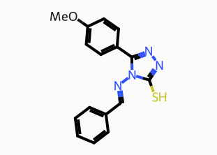 COc1ccc(-c2nnc(S)n2/N=C/c2ccccc2)cc1